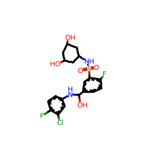 O=S(=O)(NC1CC(O)CC(O)C1)c1cc(C(O)Nc2ccc(F)c(Cl)c2)ccc1F